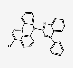 Clc1ccc2c3c(cccc13)N(c1nc(-c3ccccc3)c3ccccc3n1)c1ccccc1-2